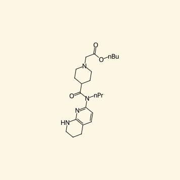 CCCCOC(=O)CN1CCC(C(=O)N(CCC)c2ccc3c(n2)NCCC3)CC1